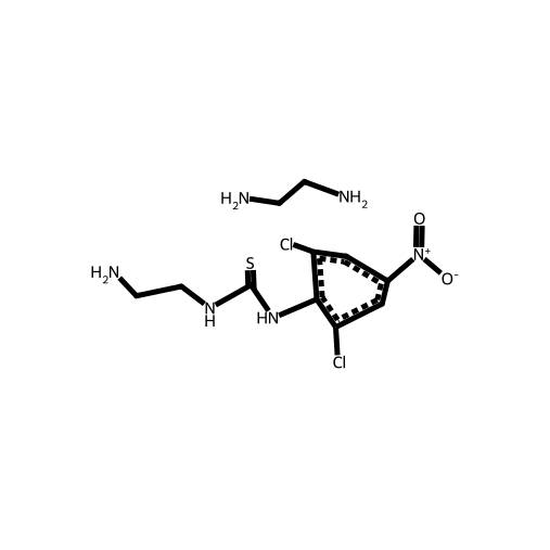 NCCN.NCCNC(=S)Nc1c(Cl)cc([N+](=O)[O-])cc1Cl